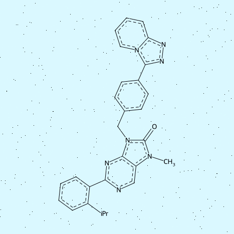 CC(C)c1ccccc1-c1ncc2c(n1)n(Cc1ccc(-c3nnc4ccccn34)cc1)c(=O)n2C